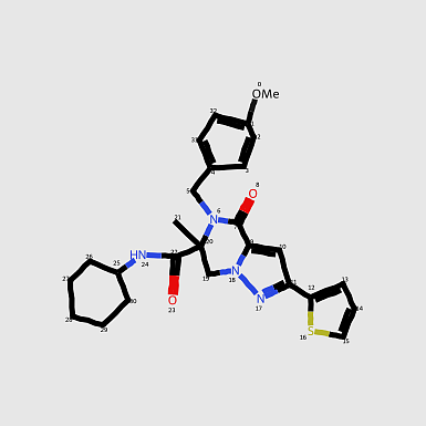 COc1ccc(CN2C(=O)c3cc(-c4cccs4)nn3CC2(C)C(=O)NC2CCCCC2)cc1